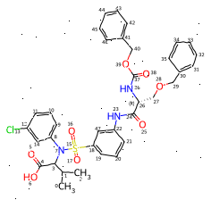 CC(C)C(C(=O)O)N(c1cccc(Cl)c1)S(=O)(=O)c1cccc(NC(=O)[C@@H](COCc2ccccc2)NC(=O)OCc2ccccc2)c1